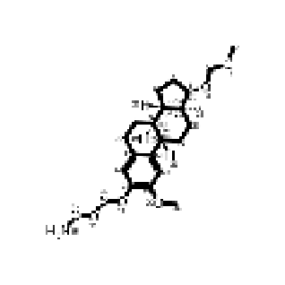 COCO[C@H]1CC[C@H]2[C@@H]3CCc4cc(OSOON)c(OC)cc4[C@H]3CC[C@]12C